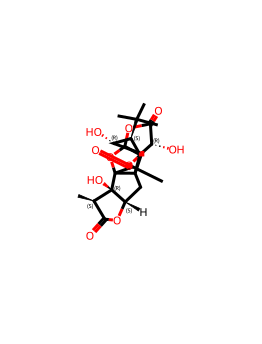 C[C@@H]1C(=O)O[C@H]2CC34C5OC(=O)C3(OC3OC(=O)[C@H](O)C34[C@H](C(C)(C)C)[C@H]5O)[C@]21O